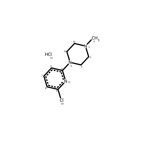 CN1CCN(c2cccc(Cl)n2)CC1.Cl